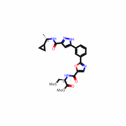 COC(=O)[C@@H](CSC)NC(=O)c1cnc(-c2cccc(-c3cc(C(=O)N[C@@H](C)C4CC4)n[nH]3)c2)o1